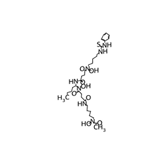 CCCCC(NC(=O)CCC(=O)N(O)CCCCCNC(=S)Nc1ccccc1)N(O)C(=O)CCC(=O)NCCCCCN(O)C(C)=O